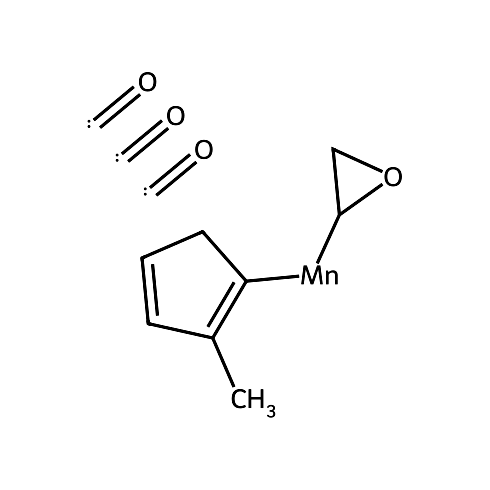 CC1=[C]([Mn][CH]2CO2)CC=C1.[C]=O.[C]=O.[C]=O